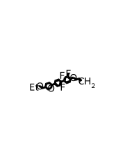 C=CCOc1ccc(-c2ccc(C3CCC(COCC)CO3)cc2F)c(F)c1F